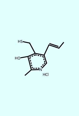 CC=Cc1cnc(C)c(O)c1CS.Cl